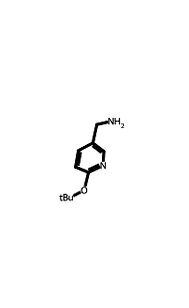 CC(C)(C)Oc1ccc(CN)cn1